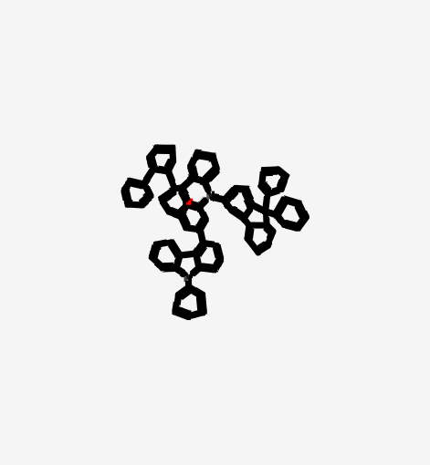 c1ccc(-c2ccccc2-c2ccccc2-c2ccccc2N(c2cccc(-c3cccc4c3c3ccccc3n4-c3ccccc3)c2)c2ccc3c(c2)-c2ccccc2C3(c2ccccc2)c2ccccc2)cc1